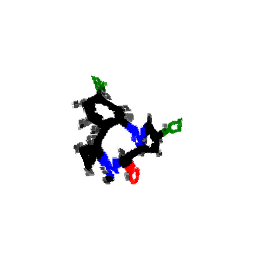 CN1C(=O)c2cc(Cl)cn2-c2cc(Br)ccc2C12CC2